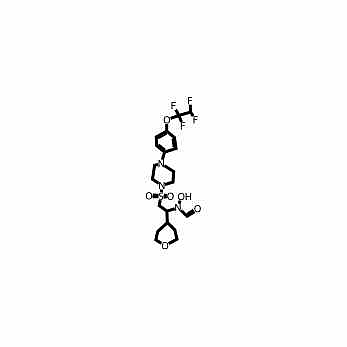 O=CN(O)C(CS(=O)(=O)N1CCN(c2ccc(OC(F)(F)C(F)F)cc2)CC1)C1CCOCC1